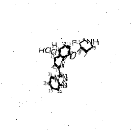 Cl.Cl.F[C@@H]1CNCC[C@H]1Oc1cccc2ccc(-c3nnc4ccccn34)nc12